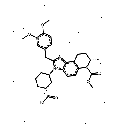 COC(=O)N1c2ccc3c(nc(Cc4ccc(OC)c(OC)c4)n3[C@@H]3CCC[C@@H](C(=O)O)C3)c2CC[C@@H]1C